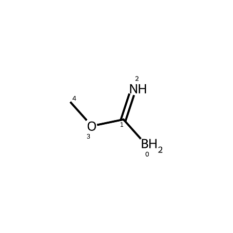 BC(=N)OC